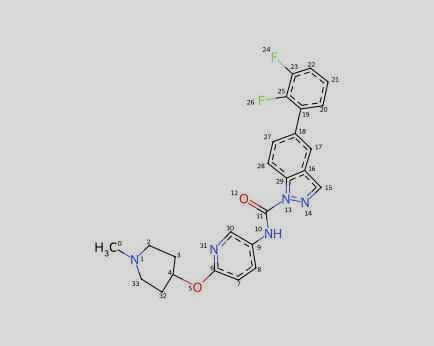 CN1CCC(Oc2ccc(NC(=O)n3ncc4cc(-c5cccc(F)c5F)ccc43)cn2)CC1